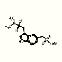 [2H]C([2H])(Cc1c[nH]c2ccc(CS(=O)(=O)NC)cc12)N(C)C